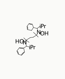 CC(C)C(c1ccccc1)N(O)C(C)(C)CCC(C)(C)N(O)C(C(C)C)C1C=CC=CC1